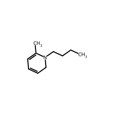 CCCCN1CC=CC=C1C